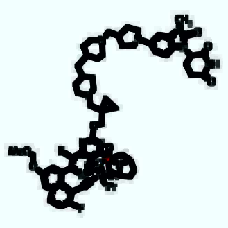 COCOc1cc(-c2ncc3c(N4CC5CCC(C4)N5C(=O)OC(C)(C)C)nc(OCC4(CN5CCC(CC6CCN(CC7CCN(c8ccc9c(c8)n(C)c(=O)n9C8CCC(=O)NC8=O)CC7)CC6)CC5)CC4)nc3c2F)c2c(C#C[Si](C(C)C)(C(C)C)C(C)C)c(F)ccc2c1